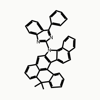 CC1(C)c2ccccc2-c2c3c1cccc3cc1c2c2ccc3ccccc3c2n1-c1nc(-c2ccccc2)c2ccccc2n1